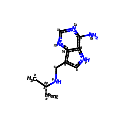 CCCCC[C@H](C)NCc1c[nH]c2c(N)ncnc12